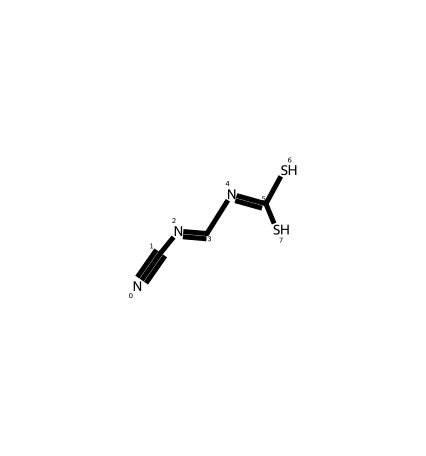 N#C/N=C/N=C(S)S